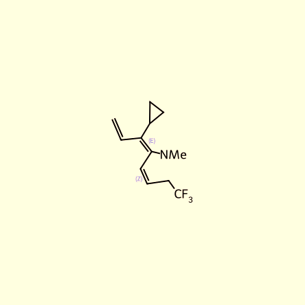 C=C/C(=C(\C=C/CC(F)(F)F)NC)C1CC1